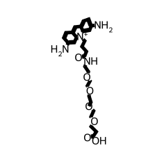 Nc1ccc2cc3ccc(N)cc3[n+](CCCC(=O)NCCOCCOCCOCCOCCC(=O)O)c2c1